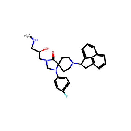 CNC[C@@H](O)CN1CN(c2ccc(F)cc2)C2(CCN(C3Cc4cccc5cccc3c45)CC2)C1=O